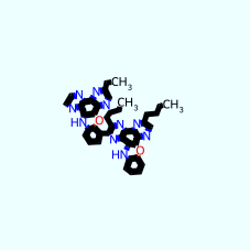 CCCCc1cnc2c3c(c4nc(-c5cccc6c5Oc5c(c7nccnc7c7nc(CC)cnc57)N6)c(CCCC)nc4c2n1)Nc1ccccc1O3